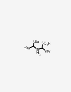 CCC[C]([SiH2]C(C(C)(C)C)C(C)(C)C)S(=O)(=O)O